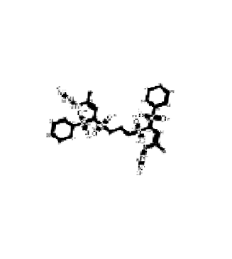 CC(=CC(S(=O)(=O)CCCS(=O)(=O)C(C=C(C)N=[N+]=[N-])S(=O)(=O)C1CCCCC1)S(=O)(=O)C1CCCCC1)N=[N+]=[N-]